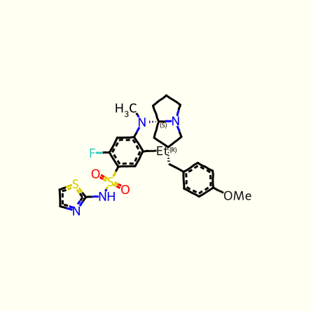 CCc1cc(S(=O)(=O)Nc2nccs2)c(F)cc1N(C)[C@]12CCCN1C[C@H](Cc1ccc(OC)cc1)C2